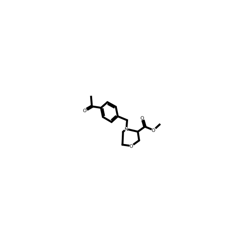 COC(=O)C1COCCN1Cc1ccc(C(C)=O)cc1